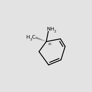 C[C@]1(N)C=CC=CC1